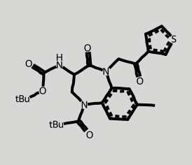 Cc1ccc2c(c1)N(CC(=O)c1ccsc1)C(=O)C(NC(=O)OC(C)(C)C)CN2C(=O)C(C)(C)C